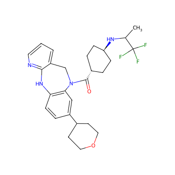 CC(N[C@H]1CC[C@H](C(=O)N2Cc3cccnc3Nc3ccc(C4CCOCC4)cc32)CC1)C(F)(F)F